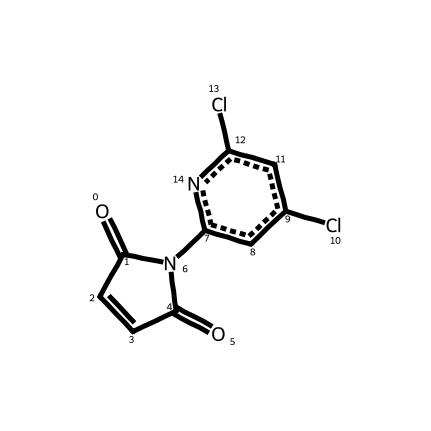 O=C1C=CC(=O)N1c1cc(Cl)cc(Cl)n1